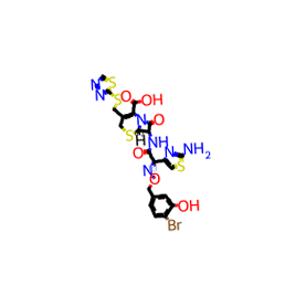 Nc1nc(/C(=N\OCc2ccc(Br)c(O)c2)C(=O)NC2C(=O)N3C(C(=O)O)=C(CSc4nncs4)CS[C@H]23)cs1